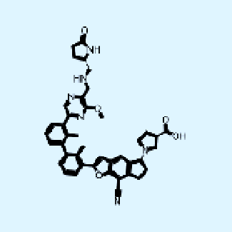 COc1nc(-c2cccc(-c3cccc(-c4cc5cc6c(c(C#N)c5o4)CC[C@H]6N4CC[C@@H](C(=O)O)C4)c3C)c2C)cnc1CNC[C@@H]1CCC(=O)N1